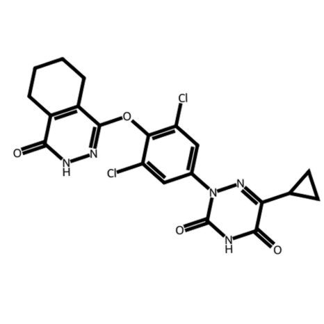 O=c1[nH]c(=O)n(-c2cc(Cl)c(Oc3n[nH]c(=O)c4c3CCCC4)c(Cl)c2)nc1C1CC1